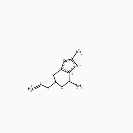 C=CCC1Cc2sc(N)nc2C(N)C1